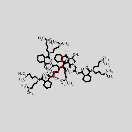 CC(CN(CC(C)OC(=O)C1CCCCC1C(=O)N(CCCN(C)C)CCCN(C)C)C(=O)C1CCCCC1C(=O)N(CC(C)OC(=O)C1CCCCC1C(=O)N(CCCN(C)C)CCCN(C)C)CC(C)OC(=O)C1CCCCC1C(=O)N(CCCN(C)C)CCCN(C)C)OC(=O)C1CCCCC1C(=O)N(CCCN(C)C)CCCN(C)C